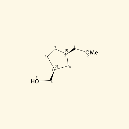 COC[C@@H]1CC[C@H](CO)C1